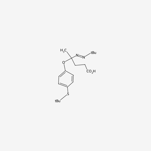 CC(C)(C)N=NC(C)(CCC(=O)O)Oc1ccc(SC(C)(C)C)cc1